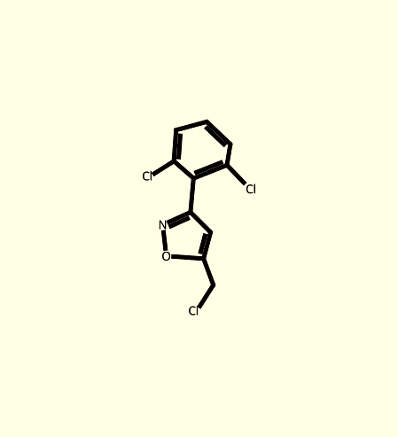 ClCc1cc(-c2c(Cl)cccc2Cl)no1